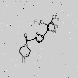 Cc1c(-c2ccc(C(=O)N3CCNCC3)s2)noc1C(F)(F)F